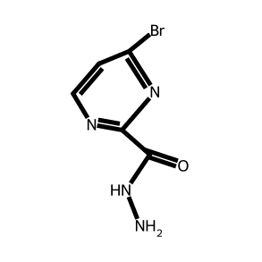 NNC(=O)c1nccc(Br)n1